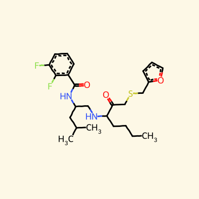 CCCCC(NCC(CC(C)C)NC(=O)c1cccc(F)c1F)C(=O)CSCc1ccco1